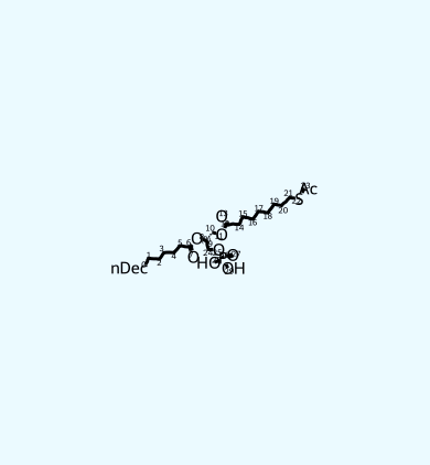 CCCCCCCCCCCCCCCC(=O)O[C@H](COC(=O)CCCCCCCCSC(C)=O)COP(=O)(O)O